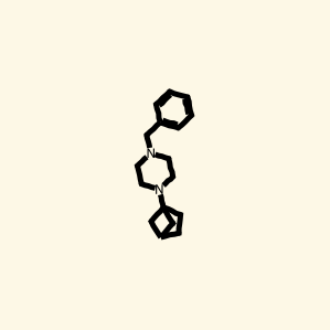 c1ccc(CN2CCN(C34CCC(C3)C4)CC2)cc1